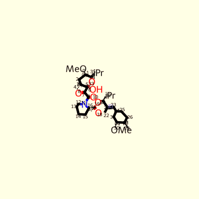 CO[C@H]1C[C@@H](C)[C@](O)(C(=O)C(=O)N2CCCC[C@H]2C(=O)O[C@H](/C(C)=C/C2CC[C@@H](C)[C@H](OC)C2)C(C)C)OC1C(C)C